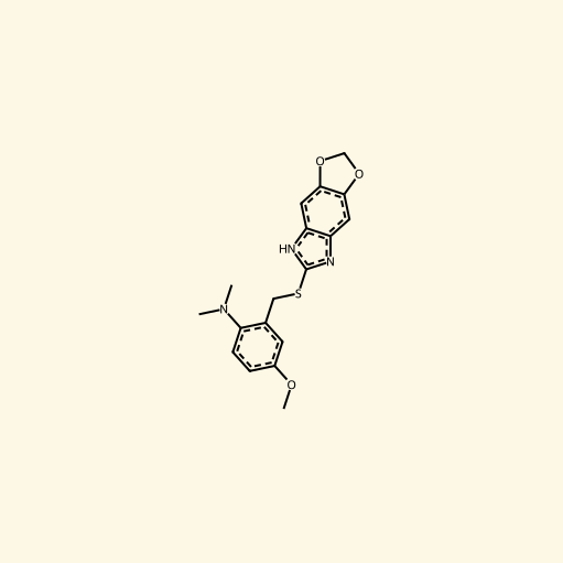 COc1ccc(N(C)C)c(CSc2nc3cc4c(cc3[nH]2)OCO4)c1